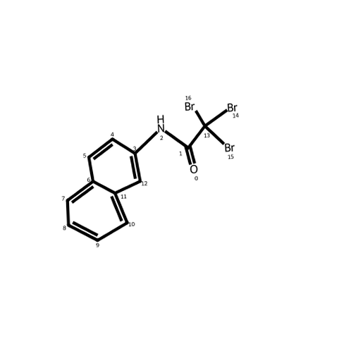 O=C(Nc1ccc2ccccc2c1)C(Br)(Br)Br